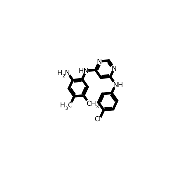 Cc1cc(N)c(Nc2cc(Nc3ccc(Cl)cc3)ncn2)cc1C